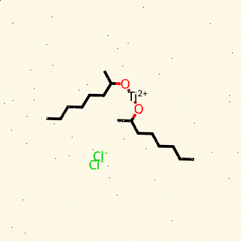 CCCCCCC(C)[O][Ti+2][O]C(C)CCCCCC.[Cl-].[Cl-]